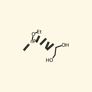 C=C.C=C.C=C.C=C.C=C.CCCOCC.OCCO